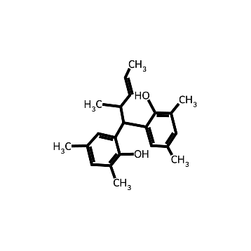 C/C=C/C(C)C(c1cc(C)cc(C)c1O)c1cc(C)cc(C)c1O